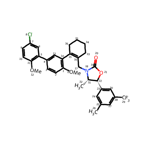 COc1ccc(-c2cc(Cl)ccc2OC)cc1C1=C(CN2C(=O)O[C@H](c3cc(C)cc(C(F)(F)F)c3)[C@@H]2C)CCCC1